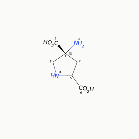 N[C@@]1(C(=O)O)CNC(C(=O)O)C1